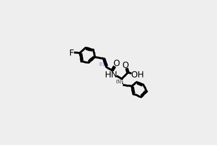 O=C(/C=C/c1ccc(F)cc1)N[C@@H](Cc1ccccc1)C(=O)O